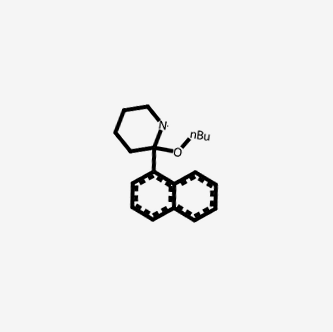 CCCCOC1(c2cccc3ccccc23)CCCC[N]1